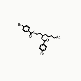 CC(=O)CCCCC(CCSC(=O)c1ccc(Br)cc1)SC(=O)c1ccc(Br)cc1